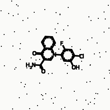 NC(=O)c1cn(-c2cc(O)c(Cl)cc2F)c2ccccc2c1=O